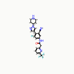 N#Cc1cc(NC(=O)Cc2cccc(C(F)(F)F)n2)cc(F)c1-c1cnn(C2CCNCC2)c1